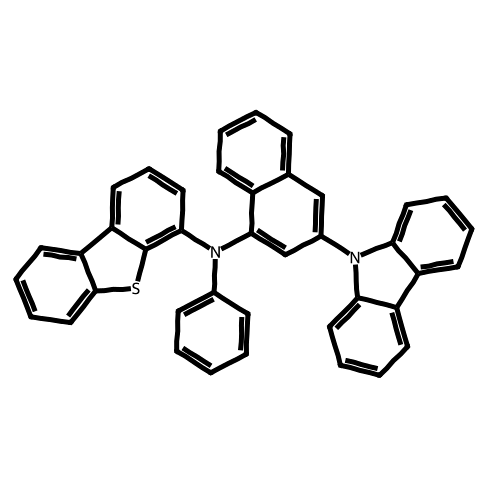 c1ccc(N(c2cc(-n3c4ccccc4c4ccccc43)cc3ccccc23)c2cccc3c2sc2ccccc23)cc1